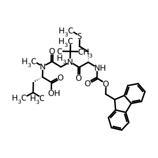 CSCC[C@H](NC(=O)OCC1c2ccccc2-c2ccccc21)C(=O)N(CC(=O)N(C)[C@@H](CC(C)C)C(=O)O)C(C)(C)C